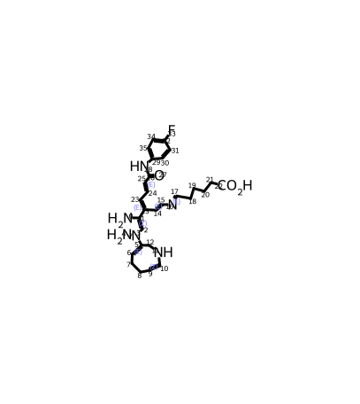 NC(=C\N(N)/C1=C/CC/C=C\NC1)/C(/C=C/N=C/CCCCC(=O)O)=C/C=C/C(=O)Nc1ccc(F)cc1